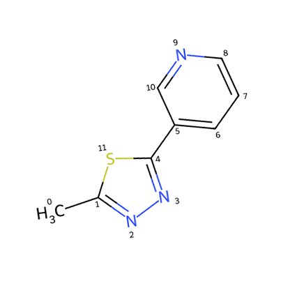 Cc1nnc(-c2cccnc2)s1